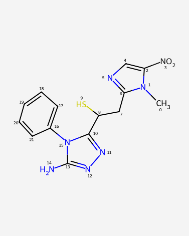 Cn1c([N+](=O)[O-])cnc1CC(S)c1nnc(N)n1-c1ccccc1